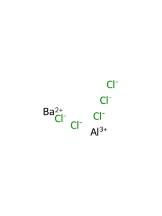 [Al+3].[Ba+2].[Cl-].[Cl-].[Cl-].[Cl-].[Cl-]